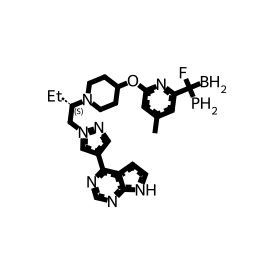 BC(F)(P)c1cc(C)cc(OC2CCN([C@@H](CC)Cn3cc(-c4ncnc5[nH]ccc45)cn3)CC2)n1